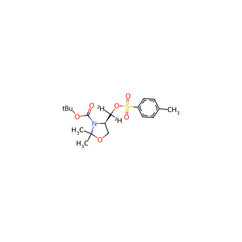 [2H]C([2H])(OS(=O)(=O)c1ccc(C)cc1)[C@H]1COC(C)(C)N1C(=O)OC(C)(C)C